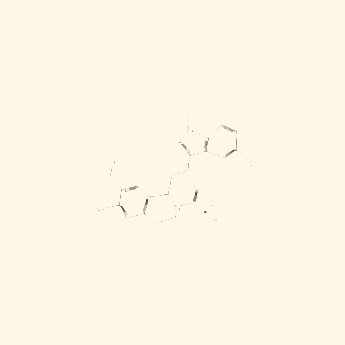 CCCc1cc2c(cc1CC)CCN(C(=O)C(F)(F)F)C2CCc1c[nH]c2ccc(CC)cc12